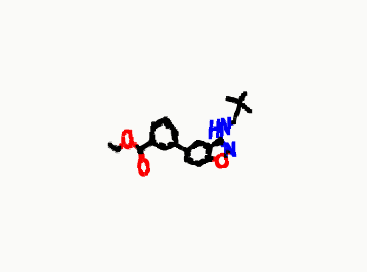 CCOC(=O)c1cccc(-c2ccc3onc(NCC(C)(C)C)c3c2)c1